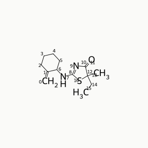 C=C1CCCCC1NC1=NC(=O)C(C)(CC)S1